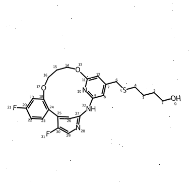 OCCCCSCc1cc2nc(c1)OCCCOc1cc(F)ccc1-c1cc(ncc1F)N2